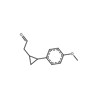 COc1ccc(C2CC2CC=O)cc1